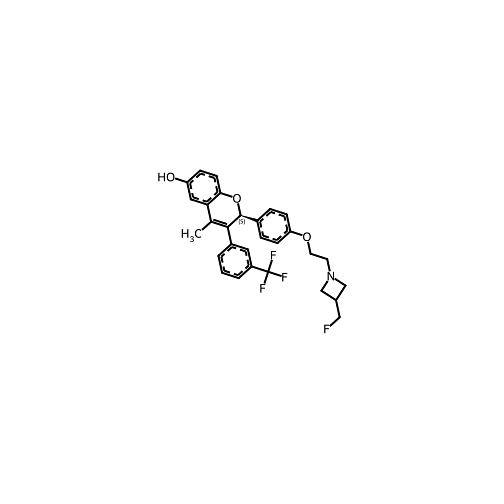 CC1=C(c2cccc(C(F)(F)F)c2)[C@H](c2ccc(OCCN3CC(CF)C3)cc2)Oc2ccc(O)cc21